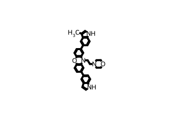 Cc1c[nH]c2ccc(-c3ccc4c(c3)N(CCN3CCOCC3)c3cc(-c5ccc6[nH]ccc6c5)ccc3O4)cc12